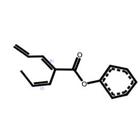 C=C/C=C(\C=C/C)C(=O)Oc1ccccc1